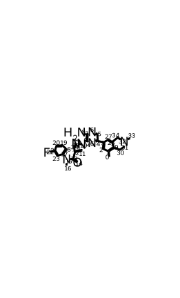 Cc1cc(-c2cnc(N)c(-n3cc(C(=O)N(C)c4cccc(F)c4)cn3)n2)cc2c1CCN(C)C2